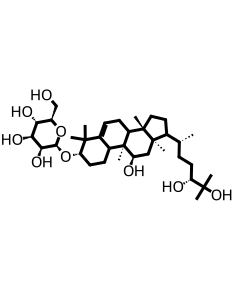 C[C@H](CC[C@@H](O)C(C)(C)O)C1CC[C@@]2(C)C3CC=C4C(CC[C@H](O[C@@H]5O[C@H](CO)[C@@H](O)[C@H](O)[C@@H]5O)C4(C)C)[C@]3(C)[C@H](O)C[C@]12C